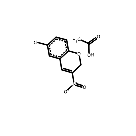 CC(=O)O.O=[N+]([O-])C1=Cc2cc(Cl)ccc2OC1